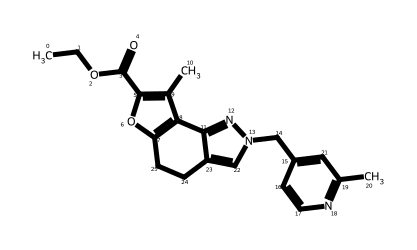 CCOC(=O)c1oc2c(c1C)-c1nn(Cc3ccnc(C)c3)cc1CC2